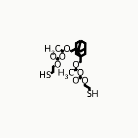 CC(OCC12CC3CC(C1)CC(COC(C)OC(=O)OCCS)(C3)C2)OC(=O)OCCS